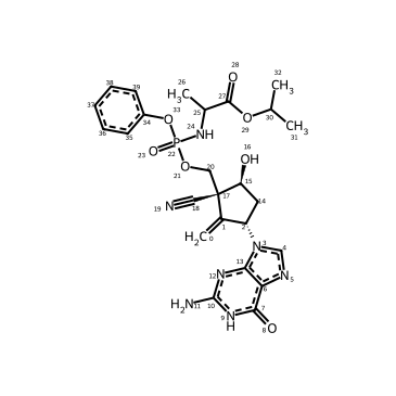 C=C1[C@@H](n2cnc3c(=O)[nH]c(N)nc32)C[C@H](O)[C@@]1(C#N)COP(=O)(NC(C)C(=O)OC(C)C)Oc1ccccc1